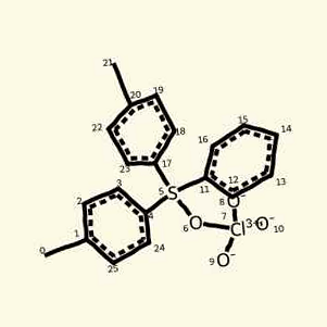 Cc1ccc(S(O[Cl+3]([O-])([O-])[O-])(c2ccccc2)c2ccc(C)cc2)cc1